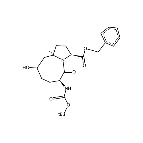 CC(C)(C)OC(=O)N[C@H]1CCC(O)C[C@H]2CC[C@@H](C(=O)OCc3ccccc3)N2C1=O